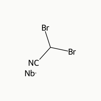 N#CC(Br)Br.[Nb]